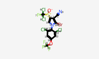 N#Cc1c([S+]([O-])C(F)(Cl)Cl)cn(-c2c(Cl)cc(OC(F)(F)F)cc2Cl)c1Br